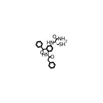 NC(=O)[C@H](CS)Nc1ccc(NC(=O)Cc2ccccc2)c(C(=O)c2ccccc2)c1